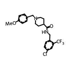 COc1ccc(CN2CCC(C(=O)NCc3ccc(Cl)cc3C(F)(F)F)CC2)cc1